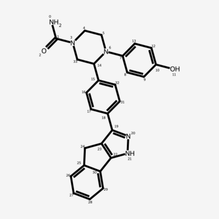 NC(=O)N1CCN(c2ccc(O)cc2)C(c2ccc(-c3n[nH]c4c3Cc3ccccc3-4)cc2)C1